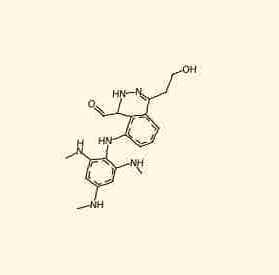 CNc1cc(NC)c(Nc2cccc3c2C(C=O)NN=C3CCO)c(NC)c1